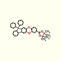 CC1(C)OB(c2ccc3c(c2)Oc2cc4c(cc2O3)C(c2ccccc2)(c2ccccc2)c2ccccc2-4)OC1(C)C